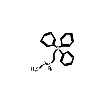 C[SiH](CC[Si](c1ccccc1)(c1ccccc1)c1ccccc1)O[SiH3]